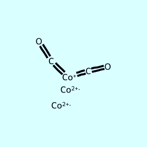 O=[C]=[Co+]=[C]=O.[Co+2].[Co+2]